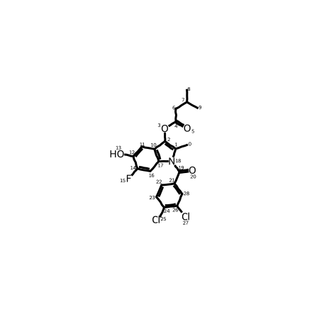 Cc1c(OC(=O)CC(C)C)c2cc(O)c(F)cc2n1C(=O)c1ccc(Cl)c(Cl)c1